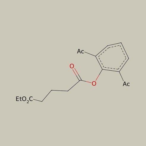 CCOC(=O)CCCC(=O)Oc1c(C(C)=O)cccc1C(C)=O